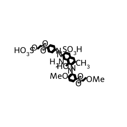 COCCS(=O)(=O)c1ccc(OC)c(/N=N/c2c(C)cc3cc(S(=O)(=O)O)c(/N=N/c4ccc(S(=O)(=O)CCOS(=O)(=O)O)cc4)c(N)c3c2O)c1